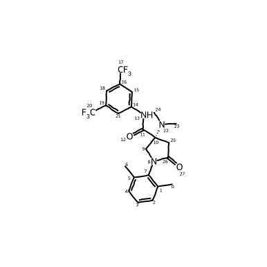 Cc1cccc(C)c1N1C[C@](C(=O)Nc2cc(C(F)(F)F)cc(C(F)(F)F)c2)(N(C)C)CC1=O